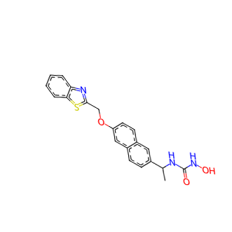 CC(NC(=O)NO)c1ccc2cc(OCc3nc4ccccc4s3)ccc2c1